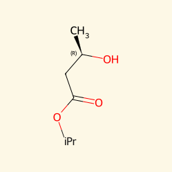 CC(C)OC(=O)C[C@@H](C)O